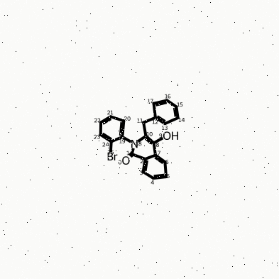 O=c1c2ccccc2c(O)c(Cc2ccccc2)n1-c1ccccc1Br